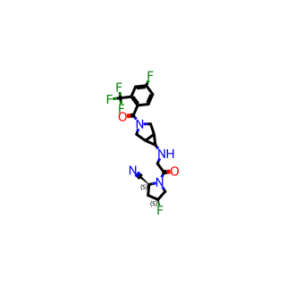 N#C[C@@H]1C[C@H](F)CN1C(=O)CNC1C2CN(C(=O)c3ccc(F)cc3C(F)(F)F)CC21